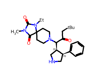 CCN1C(=O)N(C)C(=O)C12CCN(C(C(=O)CC(C)(C)C)[C@@H]1CNC[C@@H]1c1ccccc1)CC2